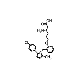 Cc1cnc(-c2ccc(Cl)cc2)n1Cc1ccccc1OCCC[C@@H](N)CC(=O)O